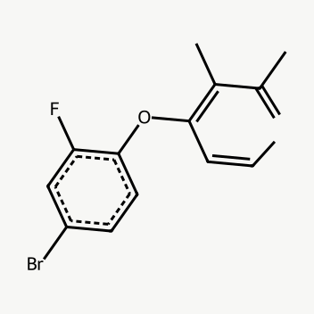 C=C(C)/C(C)=C(\C=C/C)Oc1ccc(Br)cc1F